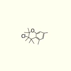 Cc1cc(C)c2c(c1)OC(C)(C)C(C)(Cl)C2(C)C